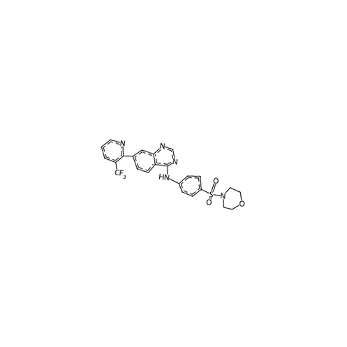 O=S(=O)(c1ccc(Nc2ncnc3cc(-c4ncccc4C(F)(F)F)ccc23)cc1)N1CCOCC1